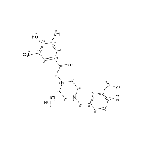 Cl.Cl.O=C(CN1CCN(Cc2ccc3c(c2)OCO3)CC1)c1cc(O)c(O)c([N+](=O)[O-])c1